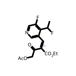 CCOC(=O)/C(=C/c1cncc(F)c1C(C)F)C(=O)COC(C)=O